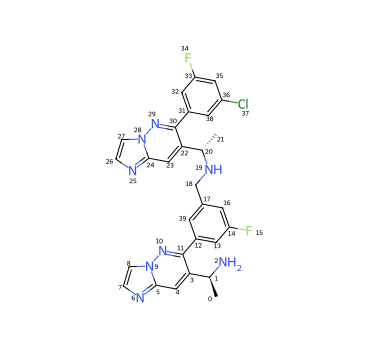 C[C@H](N)c1cc2nccn2nc1-c1cc(F)cc(CN[C@@H](C)c2cc3nccn3nc2-c2cc(F)cc(Cl)c2)c1